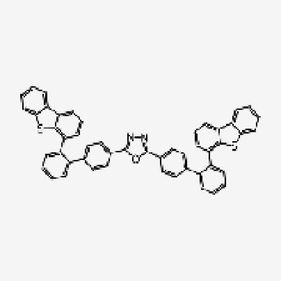 c1ccc(-c2cccc3c2sc2ccccc23)c(-c2ccc(-c3nnc(-c4ccc(-c5ccccc5-c5cccc6c5sc5ccccc56)cc4)o3)cc2)c1